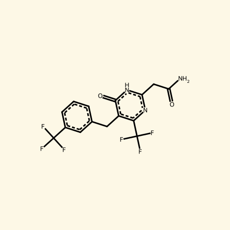 NC(=O)Cc1nc(C(F)(F)F)c(Cc2cccc(C(F)(F)F)c2)c(=O)[nH]1